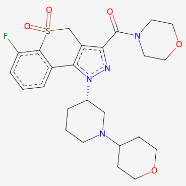 O=C(c1nn([C@H]2CCCN(C3CCOCC3)C2)c2c1CS(=O)(=O)c1c(F)cccc1-2)N1CCOCC1